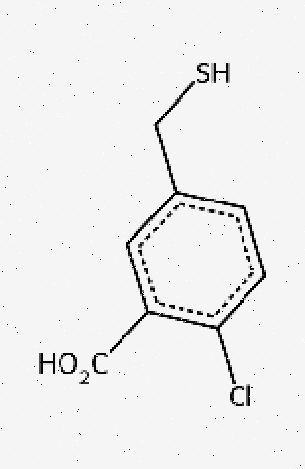 O=C(O)c1cc(CS)ccc1Cl